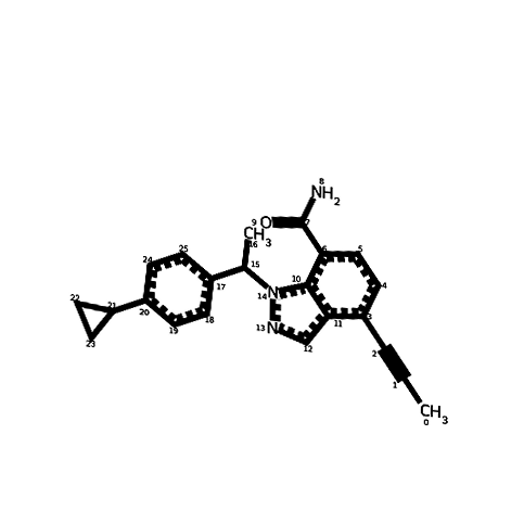 CC#Cc1ccc(C(N)=O)c2c1cnn2C(C)c1ccc(C2CC2)cc1